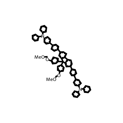 COCOc1ccc(C2(c3ccc(OCOC)cc3)c3cc(-c4ccc(-c5ccc(N(c6ccccc6)c6ccccc6)cc5)cc4)ccc3-c3ccc(-c4ccc(-c5ccc(N(c6ccccc6)c6ccccc6)cc5)cc4)cc32)cc1